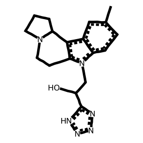 Cc1ccc2c(c1)c1c(n2CC(O)c2nnn[nH]2)CCN2CCCC12